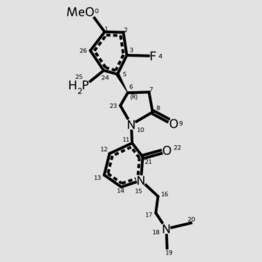 COc1cc(F)c([C@H]2CC(=O)N(c3cccn(CCN(C)C)c3=O)C2)c(P)c1